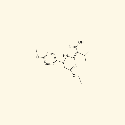 CCOC(=O)CC(NN=C(C(=O)O)C(C)C)c1ccc(OC)cc1